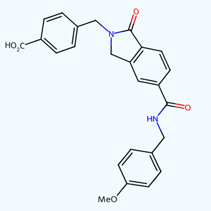 COc1ccc(CNC(=O)c2ccc3c(c2)CN(Cc2ccc(C(=O)O)cc2)C3=O)cc1